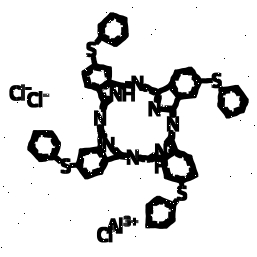 [Al+3].[Cl-].[Cl-].[Cl-].c1ccc(Sc2ccc3c(c2)-c2nc-3nc3[nH]c(nc4nc(nc5[nH]c(n2)c2ccc(Sc6ccccc6)cc52)-c2ccc(Sc5ccccc5)cc2-4)c2ccc(Sc4ccccc4)cc32)cc1